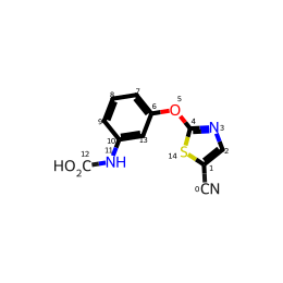 N#Cc1cnc(Oc2cccc(NC(=O)O)c2)s1